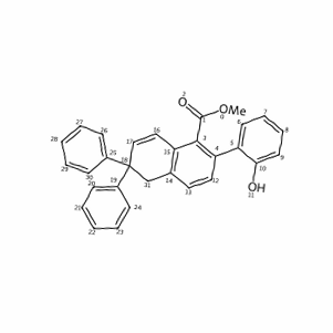 COC(=O)c1c(-c2ccccc2O)ccc2c1C=CC(c1ccccc1)(c1ccccc1)C2